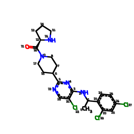 CC(Nc1nc(C2CCN(C(=O)[C@H]3CCCN3)CC2)ncc1Cl)c1ccc(Cl)cc1Cl